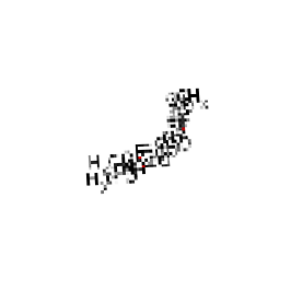 CCc1cc(C)cc(N2C(=O)c3ccc(C(c4ccc5c(c4)C(=O)N(c4cccc(N6C(=O)c7ccc(C(c8ccc9c(c8)C(=O)N(C)C9=O)(C(F)(F)F)C(F)(F)F)cc7C6=O)c4)C5=O)(C(F)(F)F)C(F)(F)F)cc3C2=O)c1